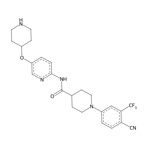 N#Cc1ccc(N2CCC(C(=O)Nc3ccc(OC4CCNCC4)cn3)CC2)cc1C(F)(F)F